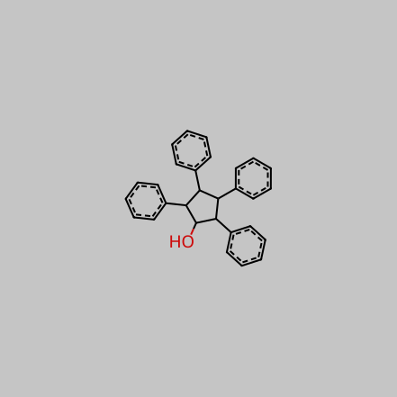 OC1C(c2ccccc2)C(c2ccccc2)C(c2ccccc2)C1c1ccccc1